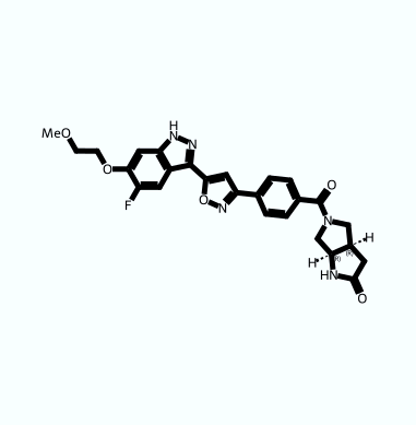 COCCOc1cc2[nH]nc(-c3cc(-c4ccc(C(=O)N5C[C@H]6CC(=O)N[C@H]6C5)cc4)no3)c2cc1F